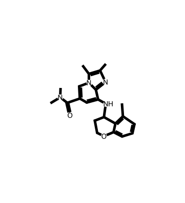 Cc1cccc2c1C(Nc1cc(C(=O)N(C)C)cn3c(C)c(C)nc13)CCO2